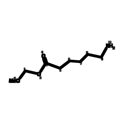 COCOC(=O)CCCCCN